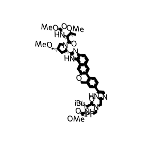 CC[C@H](C)[C@H](NC(=O)OC)C(=O)N(Cc1ncc(-c2ccc3c(c2)COc2cc4c(ccc5nc([C@@H]6C[C@H](COC)CN6C(=O)[C@@H](NC(=O)OC)[C@@H](C)OC)[nH]c54)cc2-3)[nH]1)CC(C)C